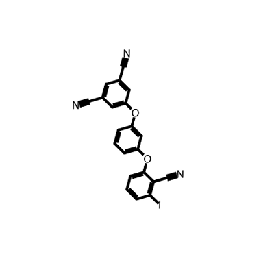 N#Cc1cc(C#N)cc(Oc2cccc(Oc3cccc(I)c3C#N)c2)c1